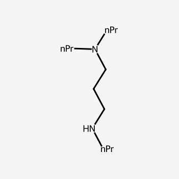 CCCNCCCN(CCC)CCC